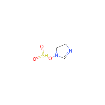 O=[SH](=O)ON1C=NCC1